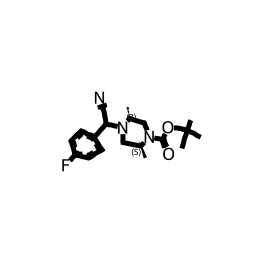 C[C@@H]1CN(C(=O)OC(C)(C)C)[C@@H](C)CN1C(C#N)c1ccc(F)cc1